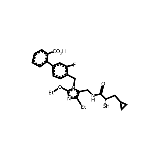 CCOc1nc(CC)c(CNC(=O)[C@@H](S)CC2CC2)n1Cc1ccc(-c2ccccc2C(=O)O)cc1F